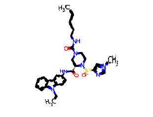 CCCCCNC(=O)N1CCN([S+]([O-])c2cn(C)cn2)[C@H](C(=O)Nc2ccc3c(c2)c2ccccc2n3CC)C1